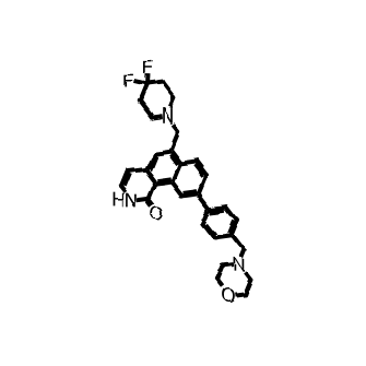 O=c1[nH]ccc2cc(CN3CCC(F)(F)CC3)c3ccc(-c4ccc(CN5CCOCC5)cc4)cc3c12